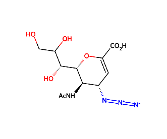 CC(=O)N[C@H]1[C@H]([C@H](O)C(O)CO)OC(C(=O)O)=C[C@@H]1N=[N+]=[N-]